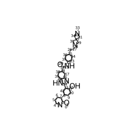 COc1ncccc1-c1ccc(O)c(-c2nc3cc(C(=O)Nc4ccc(CCN5CC6(CN(C)C6)C5)cc4)ccc3[nH]2)c1